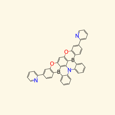 c1ccc(-c2ccc3c(c2)Oc2cc4c5c6c2B3c2ccccc2N6c2ccccc2B5c2ccc(-c3ccccn3)cc2O4)nc1